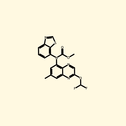 COC(=O)N(c1cc(C)cc2nc(OC(F)F)cnc12)c1cccc2ncsc12